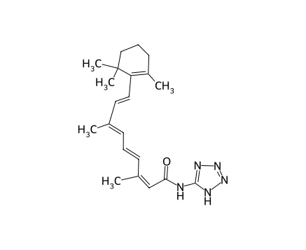 CC(C=CC1=C(C)CCCC1(C)C)=CC=C/C(C)=C\C(=O)Nc1nnn[nH]1